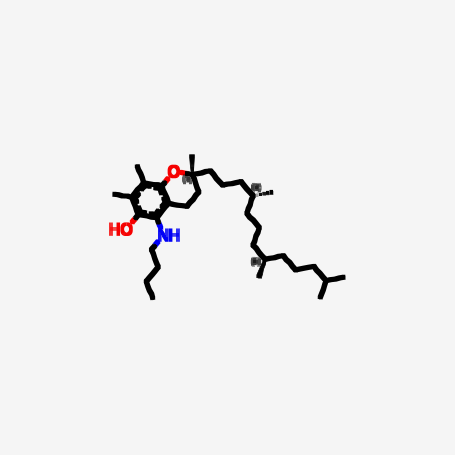 CCCCNc1c(O)c(C)c(C)c2c1CC[C@@](C)(CCC[C@H](C)CCC[C@H](C)CCCC(C)C)O2